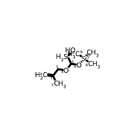 C=C(C)COC(O[Si](C)(C)C)[SiH2]O